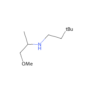 COCC(C)NCCC(C)(C)C